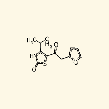 CC(C)c1[nH]c(=O)sc1C(=O)Cc1ccco1